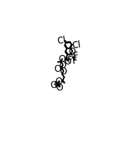 CC(CCOC(=O)OC(C)OC(=O)C1=Cc2cc(Cl)cc(Cl)c2O[C@@H]1C(F)(F)F)O[N+](=O)[O-]